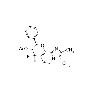 CC(=O)O[C@@H]1[C@@H](c2ccccc2)Oc2c(ccn3c(C)c(C)nc23)C1(F)F